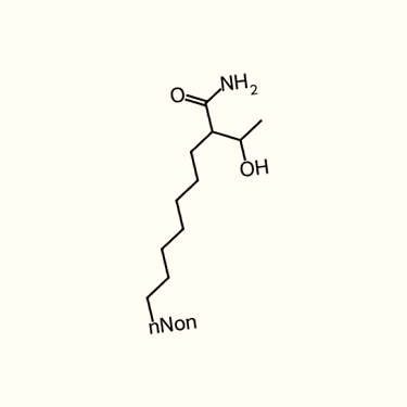 CCCCCCCCCCCCCCCCC(C(N)=O)C(C)O